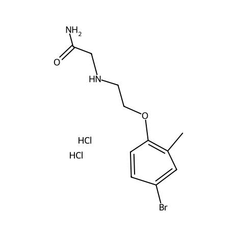 Cc1cc(Br)ccc1OCCNCC(N)=O.Cl.Cl